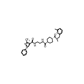 Cc1cccc(CN(C)C(=O)[C@H]2CC[C@H](C(=O)NCCNC(=O)c3cn(-c4ccccc4)nc3C(F)(F)F)CC2)n1